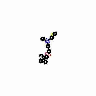 c1ccc(-c2nc(-c3ccc(-c4ccc5c(c4)Oc4c(ccc6c4-c4ccccc4C6(c4ccccc4)c4ccccc4)O5)cc3)nc(-c3ccc4c(c3)sc3ccccc34)n2)cc1